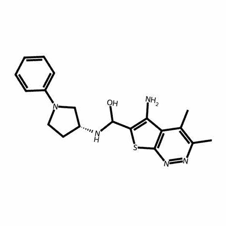 Cc1nnc2sc(C(O)N[C@@H]3CCN(c4ccccc4)C3)c(N)c2c1C